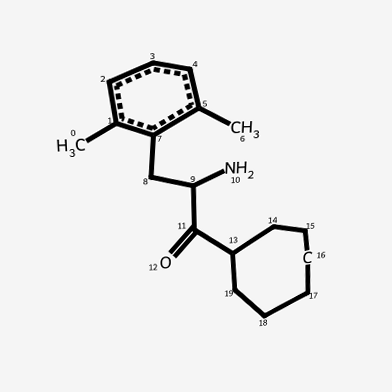 Cc1cccc(C)c1CC(N)C(=O)C1CCCCCC1